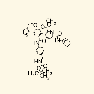 COC(=O)c1nc(C(=O)NC2CC3CCC2C3)ccc1-c1cc2c(cc1C(=O)Nc1ccc(CNC(=O)OC(C)(C)C)cc1)-c1sccc1CCO2